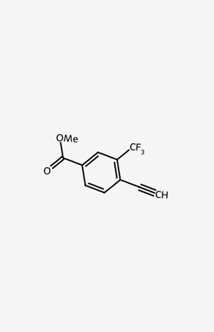 C#Cc1ccc(C(=O)OC)cc1C(F)(F)F